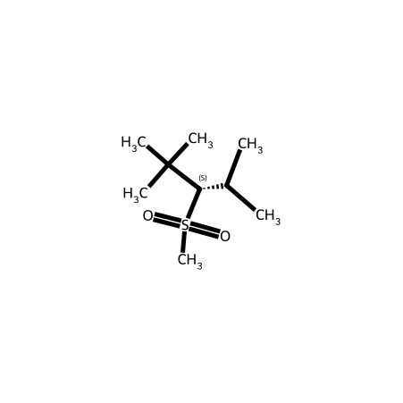 CC(C)[C@@H](C(C)(C)C)S(C)(=O)=O